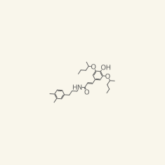 CCCC(C)Oc1cc(/C=C/C(=O)NCCCc2ccc(C)c(C)c2)cc(OC(C)CCC)c1O